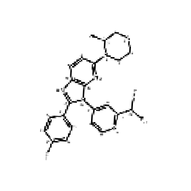 C[C@H]1CNCCN1c1ccc2nc(-c3ccc(F)cc3)n(-c3ccnc(C(F)F)c3)c2n1